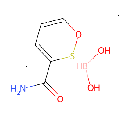 NC(=O)C1=CC=COS1.OBO